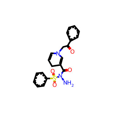 NN(C(=O)C1=CN(CC(=O)c2ccccc2)C=CC1)S(=O)(=O)c1ccccc1